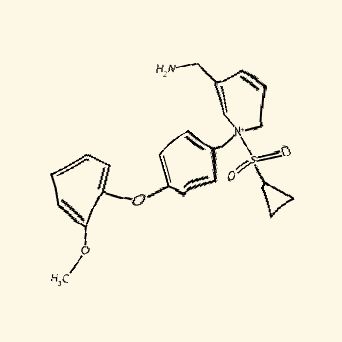 COc1ccccc1Oc1ccc([N+]2(S(=O)(=O)C3CC3)C=C(CN)C=CC2)cc1